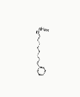 [CH2]CCCCCOCCCCCCCCc1ccccc1